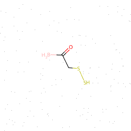 BC(=O)CSS